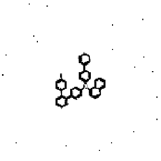 Cc1ccc(-c2ccccc2-c2ccc(N(c3ccc(C4=CCCC=C4)cc3)c3cccc4ccccc34)cc2)cc1